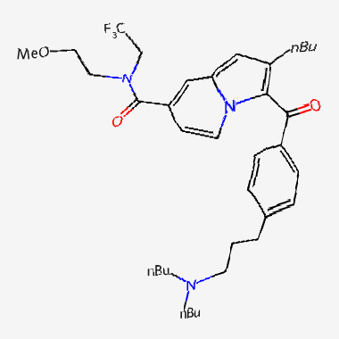 CCCCc1cc2cc(C(=O)N(CCOC)CC(F)(F)F)ccn2c1C(=O)c1ccc(CCCN(CCCC)CCCC)cc1